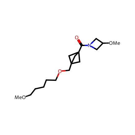 COCCCCCOCC12CC(C(=O)N3CC(OC)C3)(C1)C2